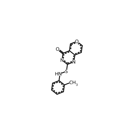 Cc1ccccc1NSc1nc2ccocc-2c(=O)n1